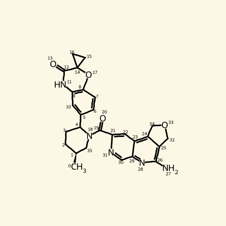 C[C@H]1CCC(c2ccc3c(c2)NC(=O)C2(CC2)O3)N(C(=O)c2cc3c4c(c(N)nc3cn2)COC4)C1